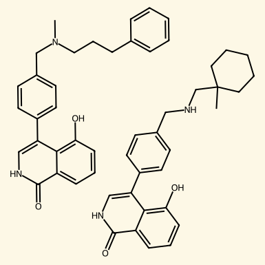 CC1(CNCc2ccc(-c3c[nH]c(=O)c4cccc(O)c34)cc2)CCCCC1.CN(CCCc1ccccc1)Cc1ccc(-c2c[nH]c(=O)c3cccc(O)c23)cc1